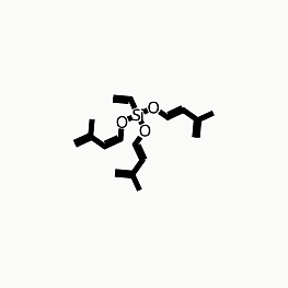 C=C[Si](OC=CC(=C)C)(OC=CC(=C)C)OC=CC(=C)C